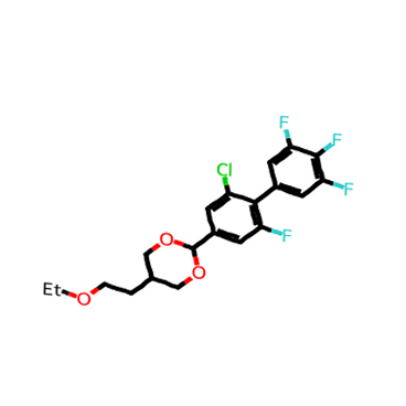 CCOCCC1COC(c2cc(F)c(-c3cc(F)c(F)c(F)c3)c(Cl)c2)OC1